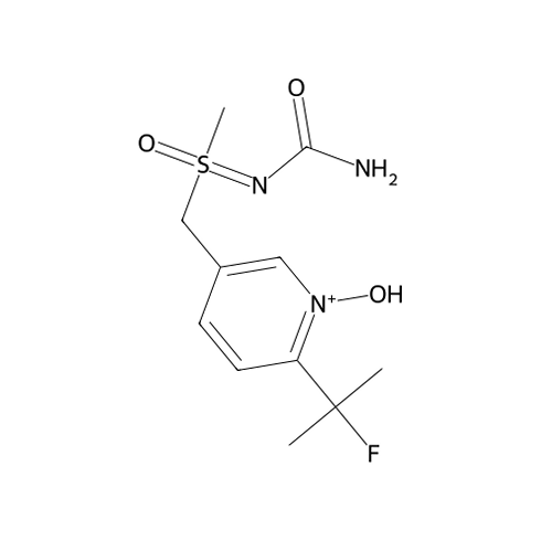 CC(C)(F)c1ccc(CS(C)(=O)=NC(N)=O)c[n+]1O